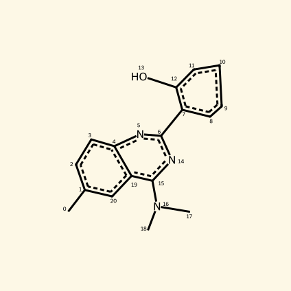 Cc1ccc2nc(-c3ccccc3O)nc(N(C)C)c2c1